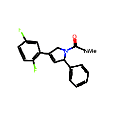 CNC(=O)N1CC(c2cc(F)ccc2F)=CC1c1ccccc1